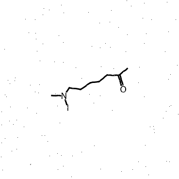 CC(=O)CCCCCN(C)I